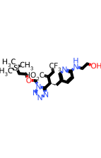 C[Si](C)(C)CCOCn1nnnc1[C@@H](Cc1ccc(NCCO)nc1)C(CC(F)(F)F)C(=O)O